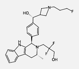 C[C@@H]1Cc2c([nH]c3ccccc23)[C@@H](c2ccc([C@H](O)C3CN(CCCF)C3)cc2)N1CC(F)(F)CO